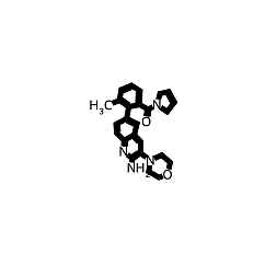 Cc1cccc(C(=O)N2CC=CC2)c1-c1ccc2nc(N)c(N3CCOCC3)cc2c1